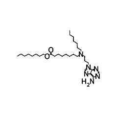 CCCCCCCCOC(=O)CCCCCCCN(CCCCCCC)CCCn1cnc2c(N)ncnc21